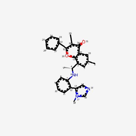 Cc1cc([C@@H](C)Nc2ccccc2-c2cncn2C)c2oc(-c3ccccc3)c(C)c(=O)c2c1